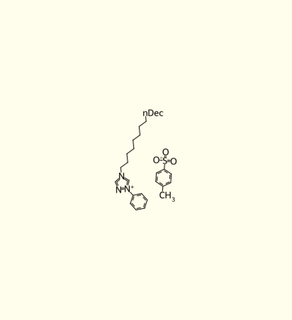 CCCCCCCCCCCCCCCCCCn1cn[n+](-c2ccccc2)c1.Cc1ccc(S(=O)(=O)[O-])cc1